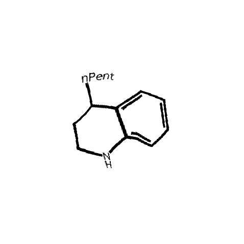 CCCCCC1CCNc2ccccc21